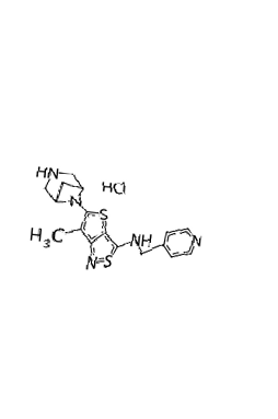 Cc1c(N2C3CNCC2C3)sc2c(NCc3ccncc3)snc12.Cl